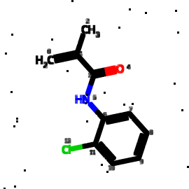 C=C(C)C(=O)Nc1ccccc1Cl